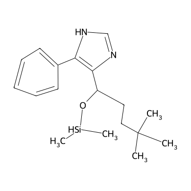 C[SiH](C)OC(CCC(C)(C)C)c1nc[nH]c1-c1ccccc1